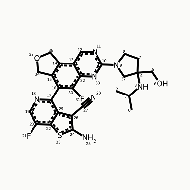 CC(C)NC1(CO)CCN(c2ncc3c4c(c(-c5ncc(F)c6sc(N)c(C#N)c56)c(F)c3n2)COC4)C1